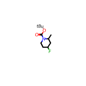 CC1CC(F)CCN1C(=O)OC(C)(C)C